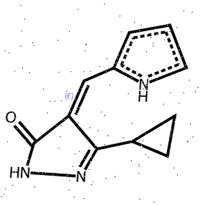 O=C1NN=C(C2CC2)/C1=C\c1ccc[nH]1